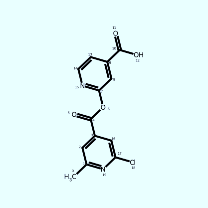 Cc1cc(C(=O)Oc2cc(C(=O)O)ccn2)cc(Cl)n1